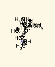 CCOC(=O)C1=C(Nc2ccccc2)S/C(=C\c2ccc(OCCOCCOCCOCCNC(=O)c3cc(NC(=O)NCCCCN(C)C)cc(NC(=O)NCCCCN(C)C)c3)c(O)c2)C1=O.O=C(O)C(F)(F)F